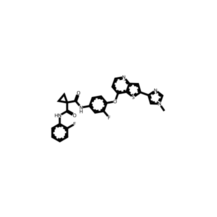 Cn1cnc(-c2cc3nccc(Oc4ccc(NC(=O)C5(C(=O)Nc6ccccc6F)CC5)cc4F)c3s2)c1